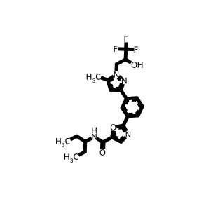 CCC(CC)NC(=O)c1cnc(-c2cccc(-c3cc(C)n(CC(O)C(F)(F)F)n3)c2)o1